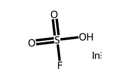 O=S(=O)(O)F.[In]